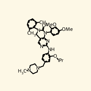 COc1ccc(N2C(=O)N(c3c(C)cccc3C)Cc3cnc(Nc4ccc(CN5CCN(C)CC5)cc4OC(C)C)nc32)c(OC)c1